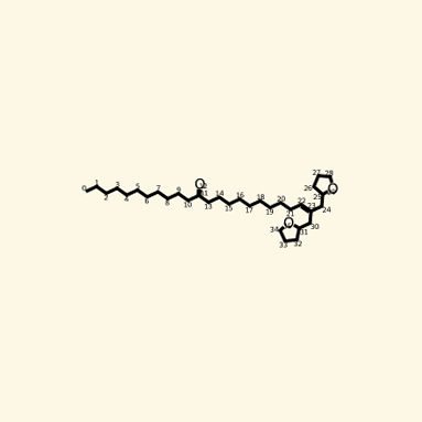 CCCCCCCCCCCC(=O)CCCCCCCCCC=C(CC1CCCO1)CC1CCCO1